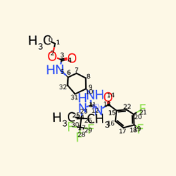 CCOC(=O)N[C@H]1CC[C@H](N/C(=N\C(=O)c2ccc(F)c(F)c2)NC(C)(C)C(F)(F)F)CC1